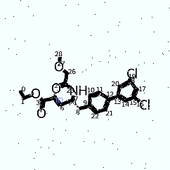 CCOC(=O)/C=C/[C@@H](Cc1ccc(-c2cc(Cl)cc(Cl)c2)cc1)NC(=O)COC